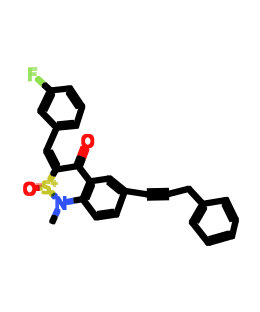 CN1c2ccc(C#CCc3ccccc3)cc2C(=O)/C(=C\c2cccc(F)c2)[S+]1[O-]